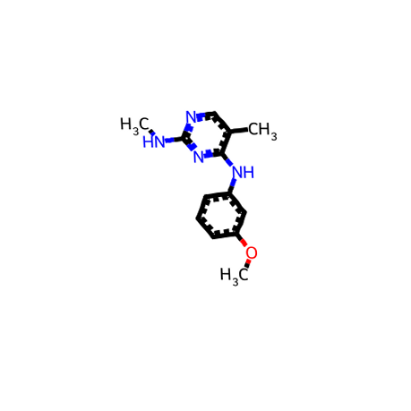 CNc1ncc(C)c(Nc2cccc(OC)c2)n1